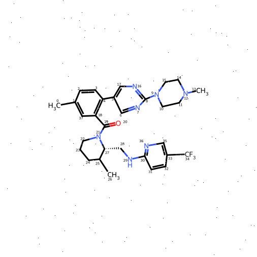 Cc1ccc(-c2cnc(N3CCN(C)CC3)nc2)c(C(=O)N2CCCC(C)[C@H]2CNc2ccc(C(F)(F)F)cn2)c1